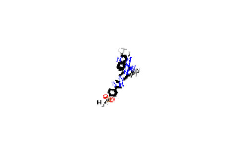 Cc1ccc2c(N/C(=N/C#N)N3CCN(c4cnc(-c5ccc(S(C)(=O)=O)cc5)cn4)CC3C(C)C)cccc2n1